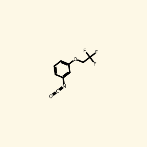 O=C=Nc1cccc(OCC(F)(F)F)c1